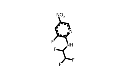 O=[N+]([O-])c1cnc(NC(F)C(F)F)c(F)c1